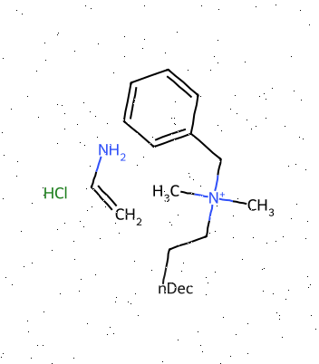 C=CN.CCCCCCCCCCCC[N+](C)(C)Cc1ccccc1.Cl